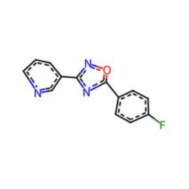 Fc1ccc(-c2nc(-c3cccnc3)no2)cc1